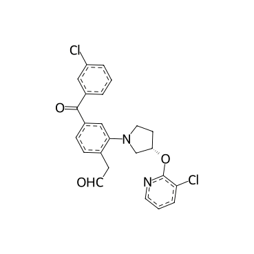 O=CCc1ccc(C(=O)c2cccc(Cl)c2)cc1N1CC[C@H](Oc2ncccc2Cl)C1